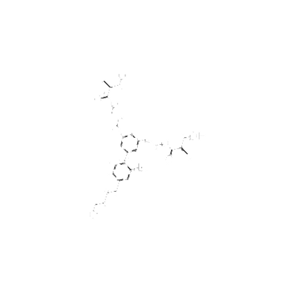 C=C(CO)C(=O)OCCOc1cc(OCOC(=O)C(=C)CO)cc(-c2ccc(CCCCC(F)(F)F)cc2CC)c1